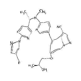 C[C@H](O)COc1cc(-c2ccc(N(C)[C@@H](C)c3ccc(-n4cc(F)cn4)nc3)nc2)c2c(C#N)cnn2c1